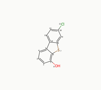 Oc1cccc2c1sc1cc(Cl)ccc12